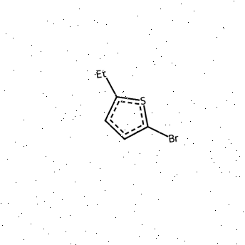 C[CH]c1ccc(Br)s1